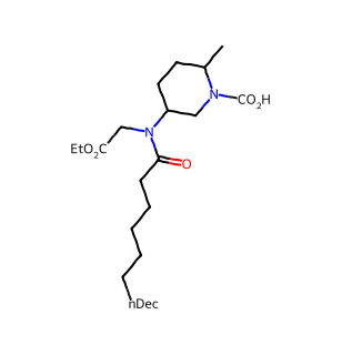 CCCCCCCCCCCCCCCC(=O)N(CC(=O)OCC)C1CCC(C)N(C(=O)O)C1